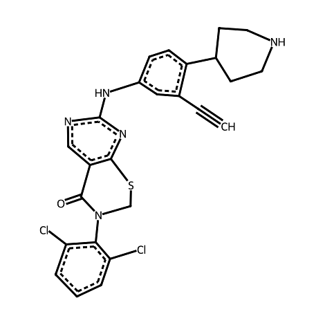 C#Cc1cc(Nc2ncc3c(n2)SCN(c2c(Cl)cccc2Cl)C3=O)ccc1C1CCNCC1